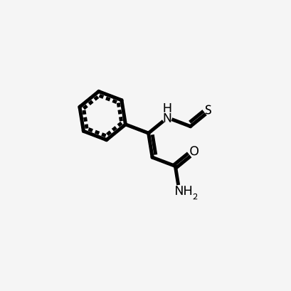 NC(=O)/C=C(\NC=S)c1ccccc1